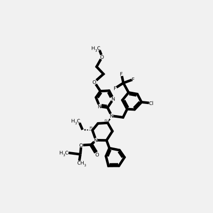 CC[C@@H]1C[C@H](N(Cc2cc(Cl)cc(C(F)(F)F)c2)c2ncc(OCCOC)cn2)CC(c2ccccc2)N1C(=O)OC(C)C